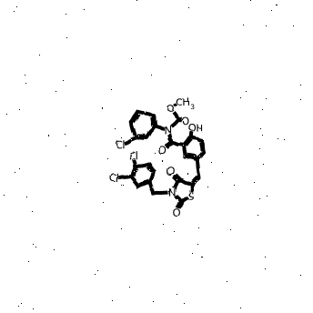 COC(=O)N(C(=O)c1cc(C=C2SC(=O)N(Cc3ccc(Cl)c(Cl)c3)C2=O)ccc1O)c1cccc(Cl)c1